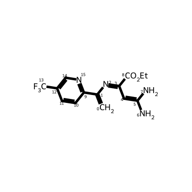 C=C(/N=C(\C=C(N)N)C(=O)OCC)c1ccc(C(F)(F)F)cn1